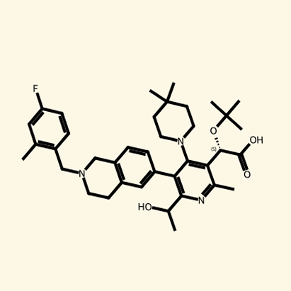 Cc1cc(F)ccc1CN1CCc2cc(-c3c(C(C)O)nc(C)c([C@H](OC(C)(C)C)C(=O)O)c3N3CCC(C)(C)CC3)ccc2C1